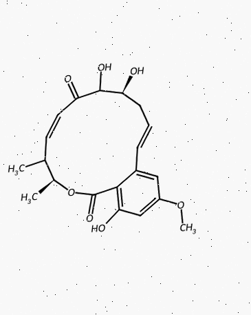 COc1cc(O)c2c(c1)/C=C/C[C@H](O)C(O)C(=O)/C=C\C(C)[C@H](C)OC2=O